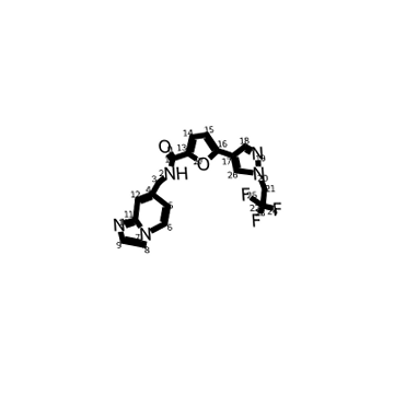 O=C(NCc1ccn2ccnc2c1)c1ccc(-c2cnn(CC(F)(F)F)c2)o1